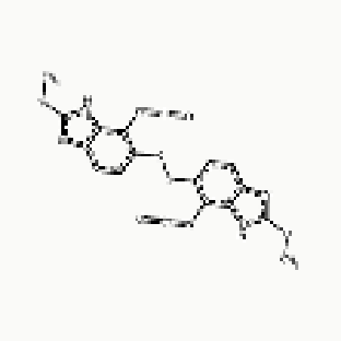 COc1nc2ccc(SSc3ccc4nc(OC)[nH]c4c3N=C=O)c(N=C=O)c2[nH]1